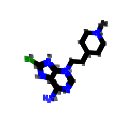 CC(=O)N1CCC(CCn2cnc(N)c3nc(Br)nc2-3)CC1